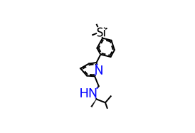 CC(C)[C@@H](C)NCc1cccc(-c2cccc([Si](C)(C)C)c2)n1